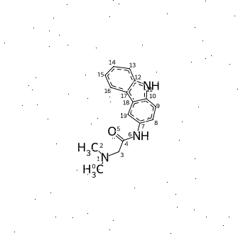 CN(C)CC(=O)Nc1ccc2[nH]c3ccccc3c2c1